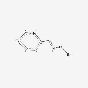 CCON=Cc1ccccn1